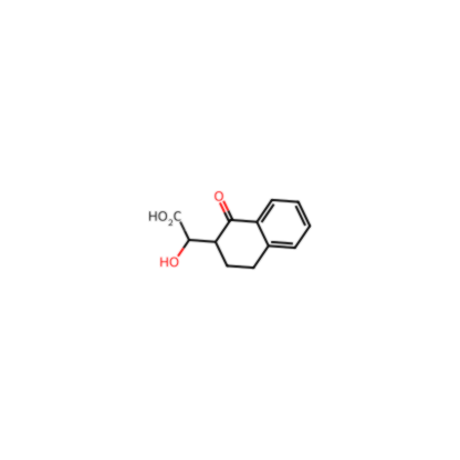 O=C(O)C(O)C1CCc2ccccc2C1=O